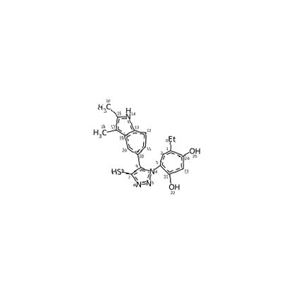 CCc1cc(-n2nnc(S)c2-c2ccc3[nH]c(C)c(C)c3c2)c(O)cc1O